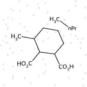 CC1CCCC(C(=O)O)C1C(=O)O.CCCC